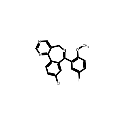 COc1ccc(F)cc1C1=NCc2cncnc2-c2ccc(Cl)cc21